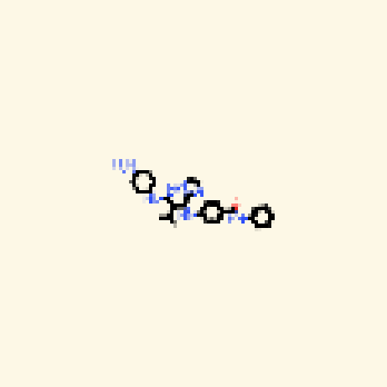 CC(C)c1c(NC2CCC(N)CC2)nn2ccnc2c1Nc1ccc(C(=O)Nc2ccccc2)cc1